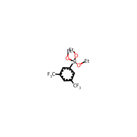 CCO[Si](OCC)(OCC)c1cc(C(F)(F)F)cc(C(F)(F)F)c1